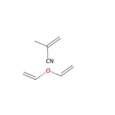 C=C(C)C#N.C=COC=C